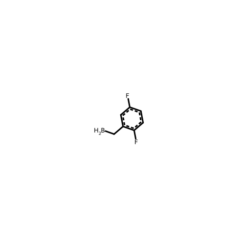 BCc1cc(F)ccc1F